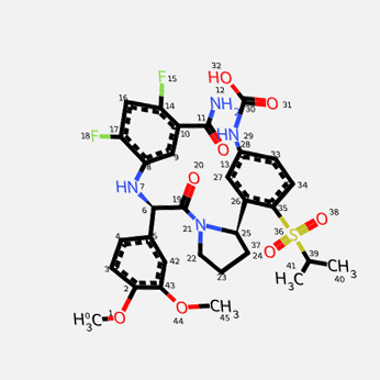 COc1ccc([C@@H](Nc2cc(C(N)=O)c(F)cc2F)C(=O)N2CCC[C@@H]2c2cc(NC(=O)O)ccc2S(=O)(=O)C(C)C)cc1OC